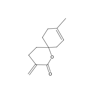 C=C1CCC2(CC=C(C)CC2)OC1=O